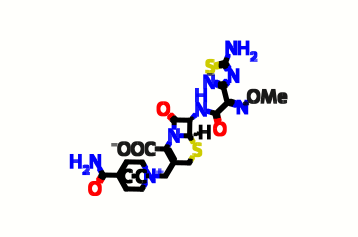 CO/N=C(/C(=O)N[C@@H]1C(=O)N2C(C(=O)[O-])=C(C[N+]34CCC(C(N)=O)(CC3)CC4)CS[C@H]12)c1nsc(N)n1